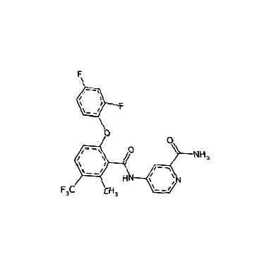 Cc1c(C(F)(F)F)ccc(Oc2ccc(F)cc2F)c1C(=O)Nc1ccnc(C(N)=O)c1